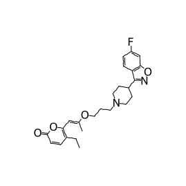 CCc1ccc(=O)oc1/C=C(\C)OCCCN1CCC(c2noc3cc(F)ccc23)CC1